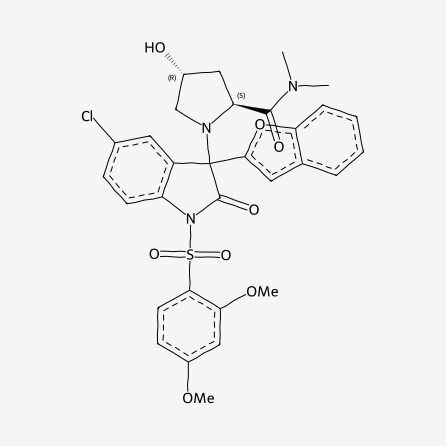 COc1ccc(S(=O)(=O)N2C(=O)C(c3cc4ccccc4o3)(N3C[C@H](O)C[C@H]3C(=O)N(C)C)c3cc(Cl)ccc32)c(OC)c1